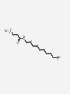 CC(C)CCCCCCCCCOC(=O)CCC(=O)O